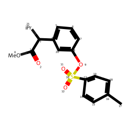 COC(=O)C(c1cccc(OS(=O)(=O)c2ccc(C)cc2)c1)C(C)C